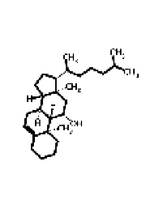 CC(C)CCCC(C)[C@H]1CC[C@H]2[C@@H]3CC=C4CCCC[C@]4(C)[C@H]3[C@@H](O)C[C@]12C